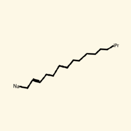 CC(C)CCCCCCCCCCC=C[CH2][Na]